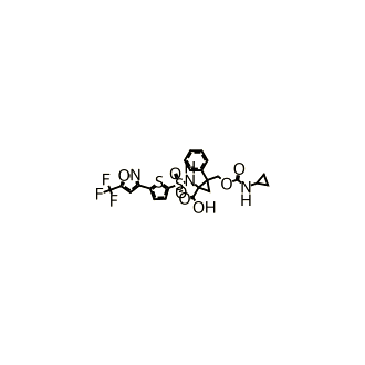 O=C(NC1CC1)OCC1(c2ccccc2)CC1(NS(=O)(=O)c1ccc(-c2cc(C(F)(F)F)on2)s1)C(=O)O